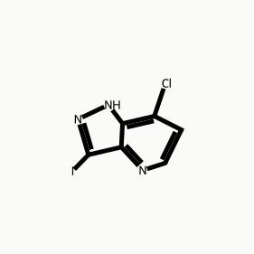 Clc1ccnc2c(I)n[nH]c12